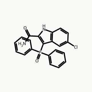 NC(=O)c1[nH]c2ccc(Cl)cc2c1P(=O)(c1ccccc1)c1ccccc1